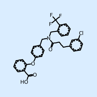 O=C(O)c1ccccc1Oc1ccc(CN(Cc2ccccc2C(F)(F)F)C(=O)CCc2cccc(Cl)c2)cc1